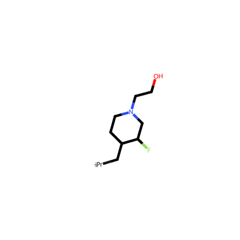 C[C](C)CC1CCN(CCO)CC1F